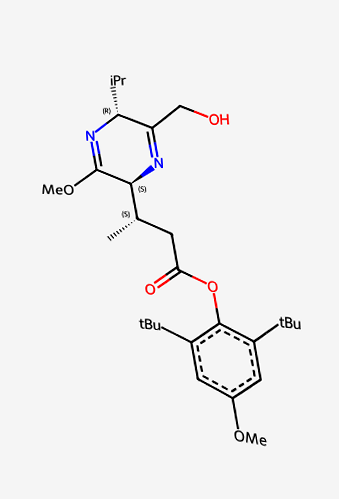 COC1=N[C@H](C(C)C)C(CO)=N[C@H]1[C@@H](C)CC(=O)Oc1c(C(C)(C)C)cc(OC)cc1C(C)(C)C